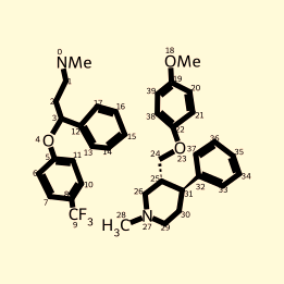 CNCCC(Oc1ccc(C(F)(F)F)cc1)c1ccccc1.COc1ccc(OC[C@H]2CN(C)CC[C@@H]2c2ccccc2)cc1